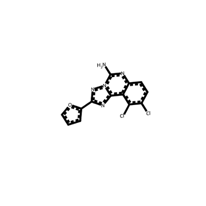 Nc1nc2ccc(Cl)c(Cl)c2c2nc(-c3ccco3)nn12